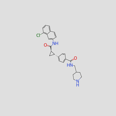 O=C(NCC1CCNCC1)c1ccc([C@@H]2C[C@H]2C(=O)Nc2ccc3cccc(Cl)c3c2)cc1